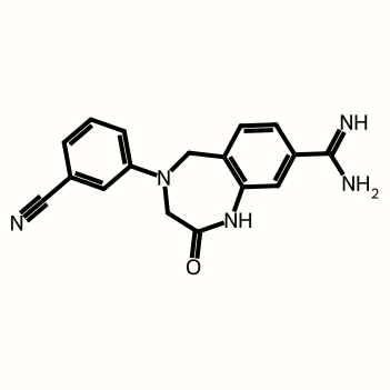 N#Cc1cccc(N2CC(=O)Nc3cc(C(=N)N)ccc3C2)c1